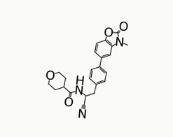 Cn1c(=O)oc2ccc(-c3ccc(CC(C#N)NC(=O)C4CCOCC4)cc3)cc21